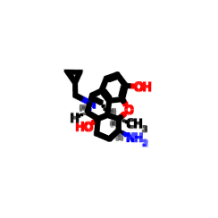 C[C@@]12Oc3c(O)ccc4c3[C@@]13CCN(CC1CC1)[C@H](C4)C3(O)CC[C@@H]2N